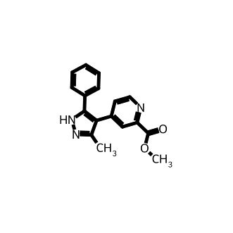 COC(=O)c1cc(-c2c(C)n[nH]c2-c2ccccc2)ccn1